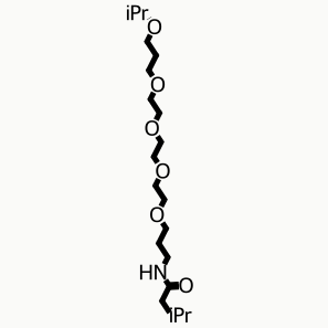 CC(C)CC(=O)NCCCOCCOCCOCCOCCCOC(C)C